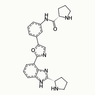 O=C(Nc1cccc(-c2cnc(-c3cccc4[nH]c([C@@H]5CCCN5)nc34)o2)c1)[C@@H]1CCCN1